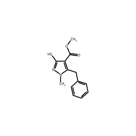 COC(=O)c1c(S)nn(C)c1Cc1ccccc1